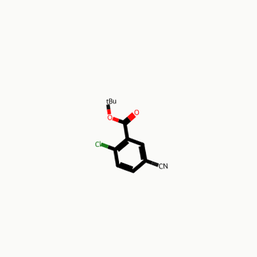 CC(C)(C)OC(=O)c1cc(C#N)ccc1Cl